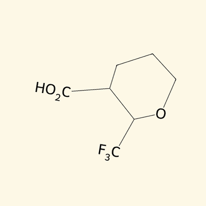 O=C(O)C1CCCOC1C(F)(F)F